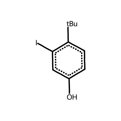 CC(C)(C)c1ccc(O)cc1I